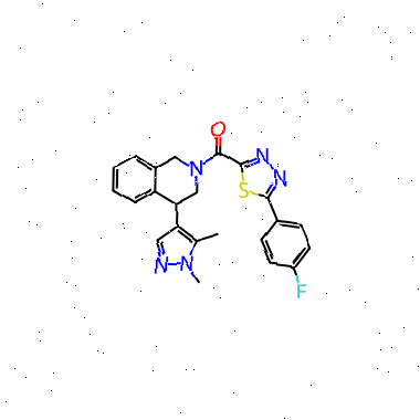 Cc1c(C2CN(C(=O)c3nnc(-c4ccc(F)cc4)s3)Cc3ccccc32)cnn1C